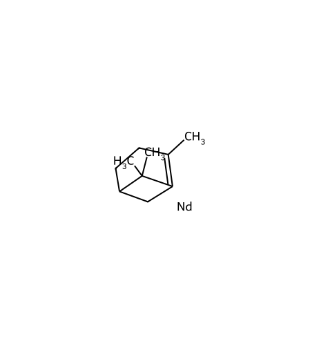 CC1=C2CC(CC1)C2(C)C.[Nd]